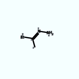 CCC(C)=NN